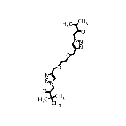 CC(C)C(=O)Cn1cc(COCCOCc2cn(CC(=O)C(C)(C)C)nn2)nn1